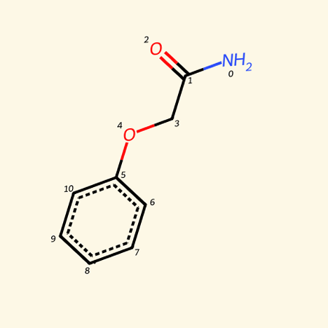 NC(=O)COc1cc[c]cc1